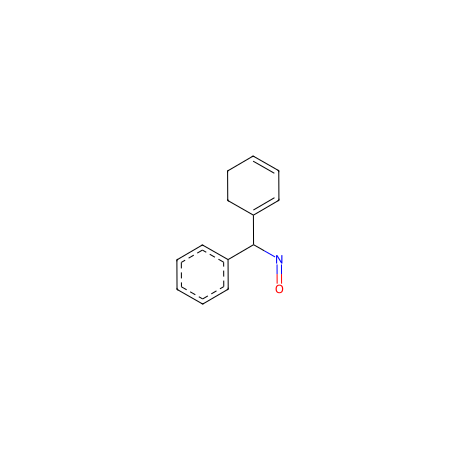 O=NC(C1=CC=CCC1)c1ccccc1